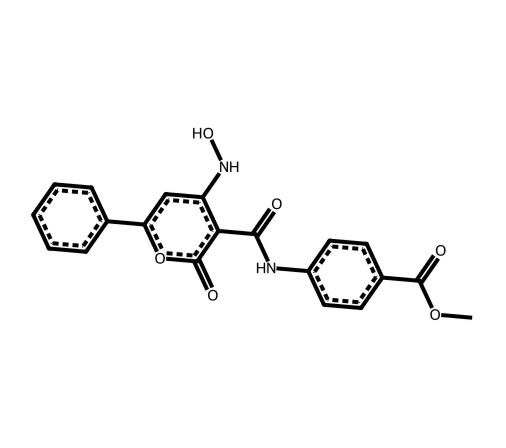 COC(=O)c1ccc(NC(=O)c2c(NO)cc(-c3ccccc3)oc2=O)cc1